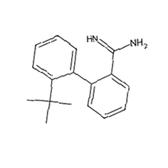 CC(C)(C)c1ccccc1-c1ccccc1C(=N)N